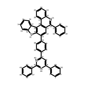 c1ccc(-c2cc(-c3ccc(-c4cc5c(-c6ccccc6)nc6ccccc6c5c5c4sc4ccccc45)cc3)nc(-c3ccccc3)n2)cc1